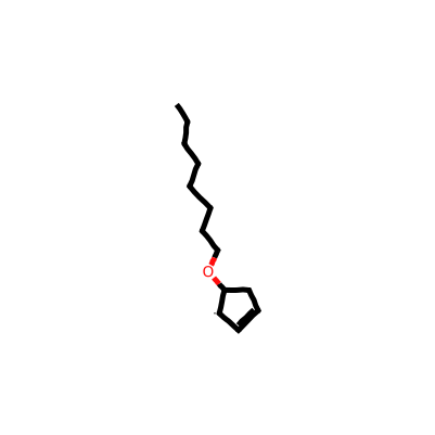 CCCCCCCCOC1[CH]C=CC1